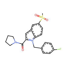 CS(=O)(=O)c1ccc2c(c1)cc(C(=O)N1CCCC1)n2Cc1ccc(F)cc1